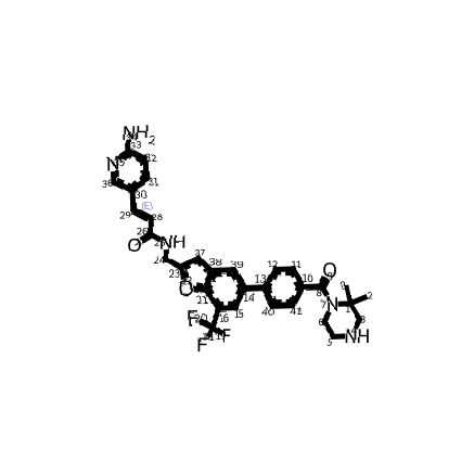 CC1(C)CNCCN1C(=O)c1ccc(-c2cc(C(F)(F)F)c3oc(CNC(=O)/C=C/c4ccc(N)nc4)cc3c2)cc1